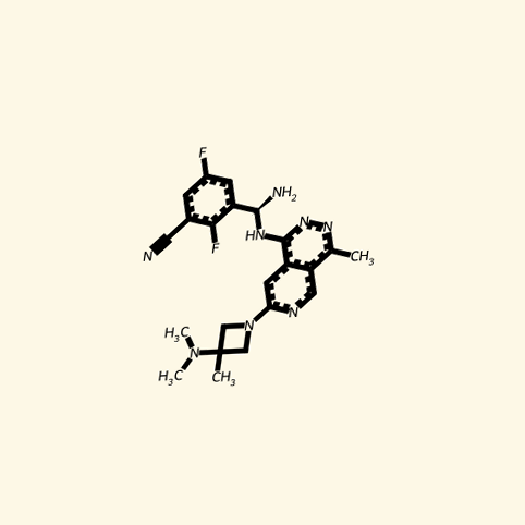 Cc1nnc(N[C@H](N)c2cc(F)cc(C#N)c2F)c2cc(N3CC(C)(N(C)C)C3)ncc12